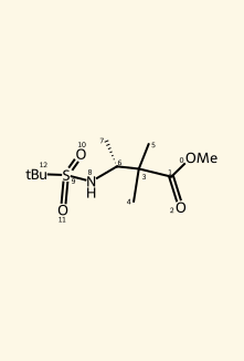 COC(=O)C(C)(C)[C@@H](C)NS(=O)(=O)C(C)(C)C